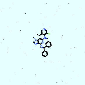 CCc1cncc(F)c1N(C)c1cc2c(ncn2C)c(N=C(c2ccccc2)c2ccccc2)n1